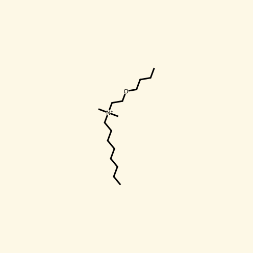 CCCCCCCC[N+](C)(C)CCOCCCC